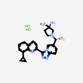 CC1(N)CCN([C@@H](c2ccc3nnc(-c4ccc5cccc(C6CC6)c5n4)n3c2)C(F)(F)F)C1.Cl.Cl